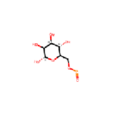 O=POCC1O[C@H](O)C(O)[C@@H](O)[C@@H]1O